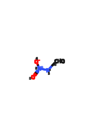 O=C[N][N+](=O)[O-]